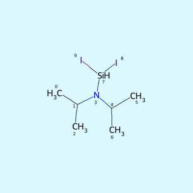 CC(C)N(C(C)C)[SiH](I)I